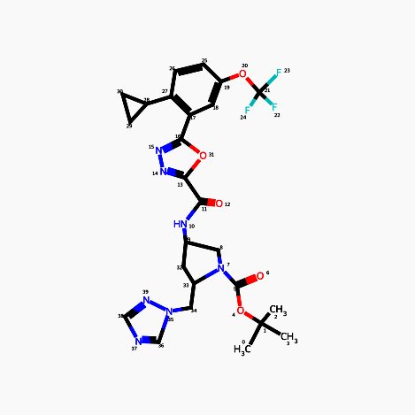 CC(C)(C)OC(=O)N1CC(NC(=O)c2nnc(-c3cc(OC(F)(F)F)ccc3C3CC3)o2)CC1Cn1cncn1